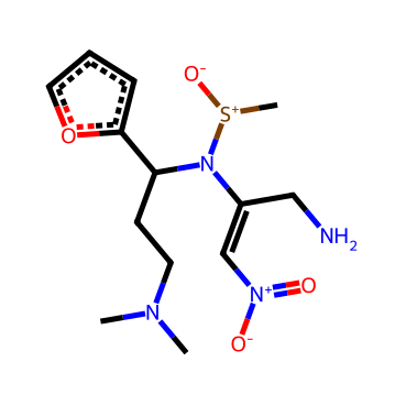 CN(C)CCC(c1ccco1)N(C(=C[N+](=O)[O-])CN)[S+](C)[O-]